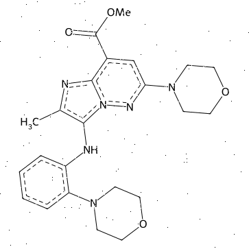 COC(=O)c1cc(N2CCOCC2)nn2c(Nc3ccccc3N3CCOCC3)c(C)nc12